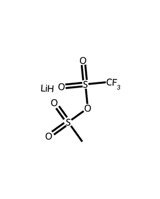 CS(=O)(=O)OS(=O)(=O)C(F)(F)F.[LiH]